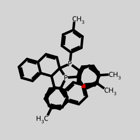 Cc1ccc(P(c2ccc(C)cc2)C2(P(c3ccc(C)cc3)c3ccc(C)cc3)C=Cc3ccccc3C2c2cccc3ccccc23)cc1